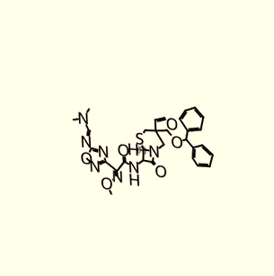 C=CC1(C(=O)OC(c2ccccc2)c2ccccc2)CS[C@@H]2C(NC(=O)C(=NOC)c3noc(N=CN(C)C)n3)C(=O)N2C1